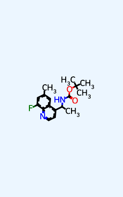 Cc1cc(F)c2nccc(C(C)NC(=O)OC(C)(C)C)c2c1